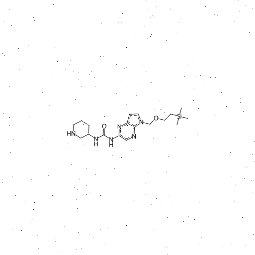 C[Si](C)(C)CCOCn1ccc2nc(NC(=O)NC3CCCNC3)cnc21